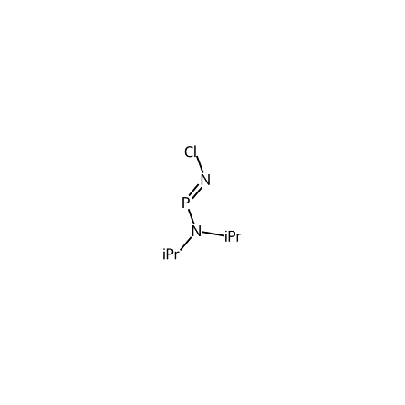 CC(C)N(/P=N/Cl)C(C)C